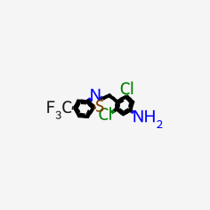 Nc1cc(Cl)c(Cc2nc3cc(C(F)(F)F)ccc3s2)c(Cl)c1